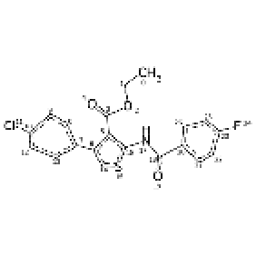 CCOC(=O)c1c(-c2ccc(Cl)cc2)csc1NC(=O)c1ccc(F)cc1